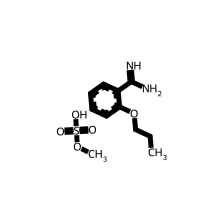 CCCOc1ccccc1C(=N)N.COS(=O)(=O)O